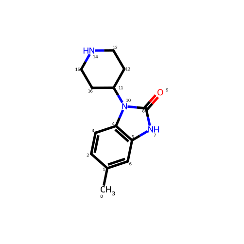 Cc1ccc2c(c1)[nH]c(=O)n2C1CCNCC1